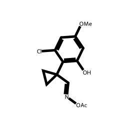 COc1cc(O)c(C2(C=NOC(C)=O)CC2)c(Cl)c1